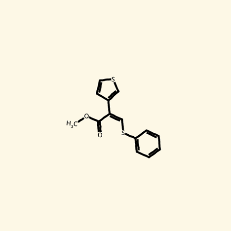 COC(=O)C(=CSc1ccccc1)c1ccsc1